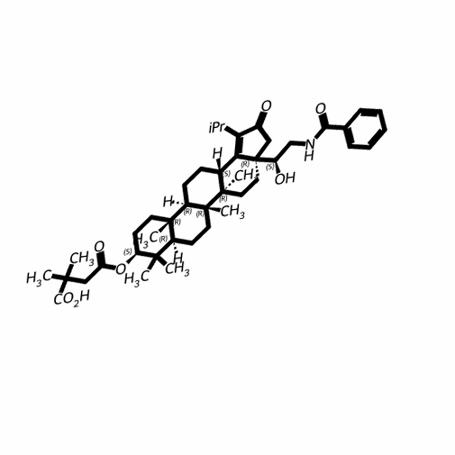 CC(C)C1=C2[C@H]3CC[C@@H]4[C@@]5(C)CC[C@H](OC(=O)CC(C)(C)C(=O)O)C(C)(C)[C@@H]5CC[C@@]4(C)[C@]3(C)CC[C@@]2([C@H](O)CNC(=O)c2ccccc2)CC1=O